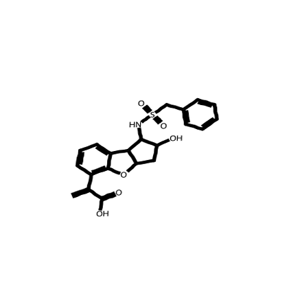 C=C(C(=O)O)c1cccc2c1OC1CC(O)C(NS(=O)(=O)Cc3ccccc3)C21